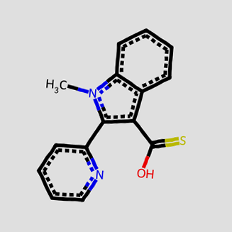 Cn1c(-c2ccccn2)c(C(O)=S)c2ccccc21